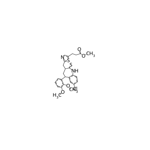 COC(=O)CCc1cnc(CC2CC(c3cccc(OC)c3OC)c3cc(Cl)ccc3NC2=S)s1